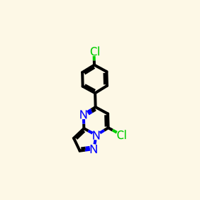 Clc1ccc(-c2cc(Cl)n3nccc3n2)cc1